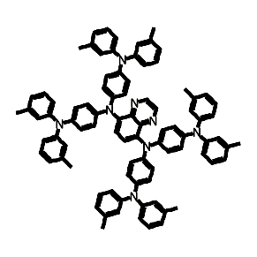 Cc1cccc(N(c2ccc(N(c3ccc(N(c4cccc(C)c4)c4cccc(C)c4)cc3)c3ccc(N(c4ccc(N(c5cccc(C)c5)c5cccc(C)c5)cc4)c4ccc(N(c5cccc(C)c5)c5cccc(C)c5)cc4)c4nccnc34)cc2)c2cccc(C)c2)c1